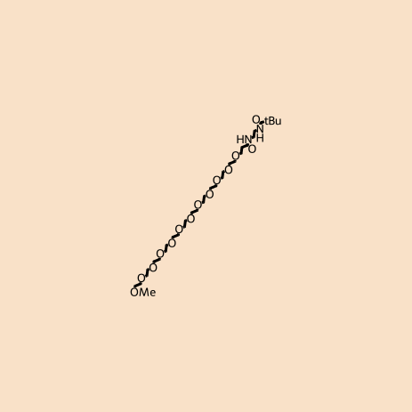 COCCOCCOCCOCCOCCOCCOCCOCCOCCOCCOCCOCCC(=O)NCCNC(=O)C(C)(C)C